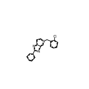 Clc1ccccc1Cn1ccc2nc(-c3ccccc3)nc-2c1